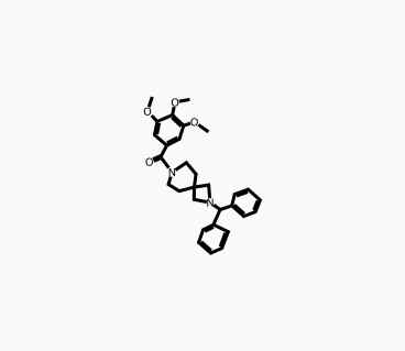 COc1cc(C(=O)N2CCC3(CC2)CN(C(c2ccccc2)c2ccccc2)C3)cc(OC)c1OC